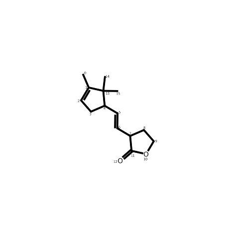 CC1=CCC(C=CC2CCOC2=O)C1(C)C